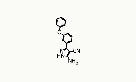 N#Cc1c(-c2cccc(Oc3ccccc3)c2)n[nH]c1N